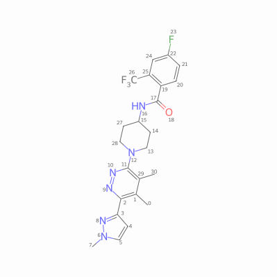 Cc1c(-c2ccn(C)n2)nnc(N2CCC(NC(=O)c3ccc(F)cc3C(F)(F)F)CC2)c1C